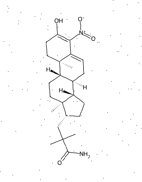 CC(C)(C[C@H]1CC[C@H]2[C@@H]3CC=C4C([N+](=O)[O-])=C(O)CC[C@]4(C)[C@H]3CC[C@]12C)C(N)=O